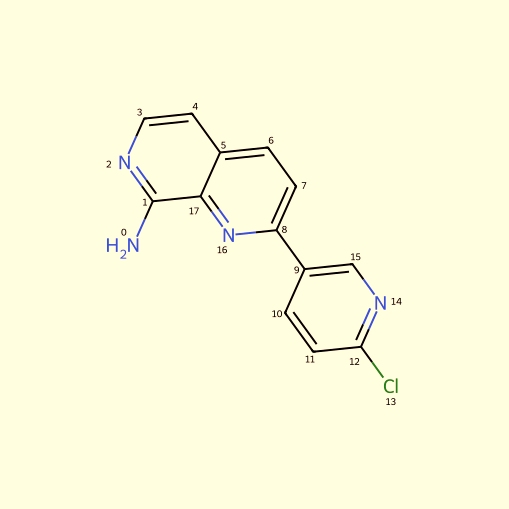 Nc1nccc2ccc(-c3ccc(Cl)nc3)nc12